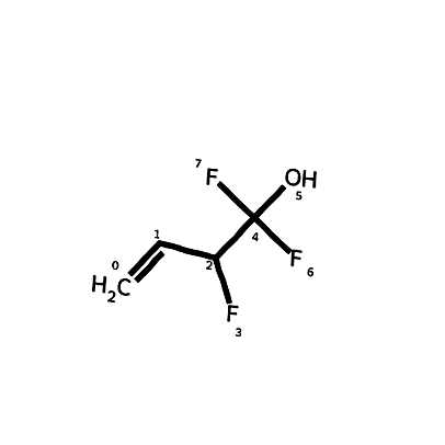 C=CC(F)C(O)(F)F